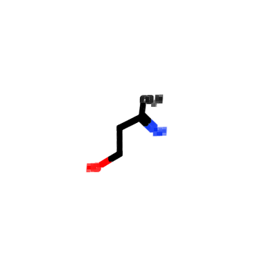 N=C(CCO)C(=O)O